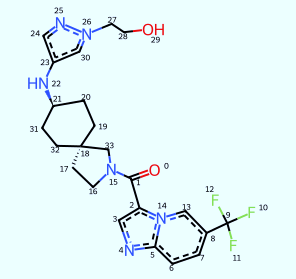 O=C(c1cnc2ccc(C(F)(F)F)cn12)N1CC[C@]2(CC[C@H](Nc3cnn(CCO)c3)CC2)C1